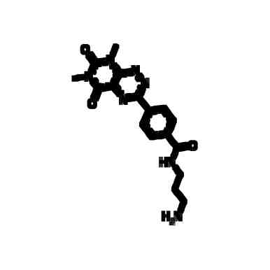 Cn1c(=O)c2nc(-c3ccc(C(=O)NCCCN)cc3)nnc2n(C)c1=O